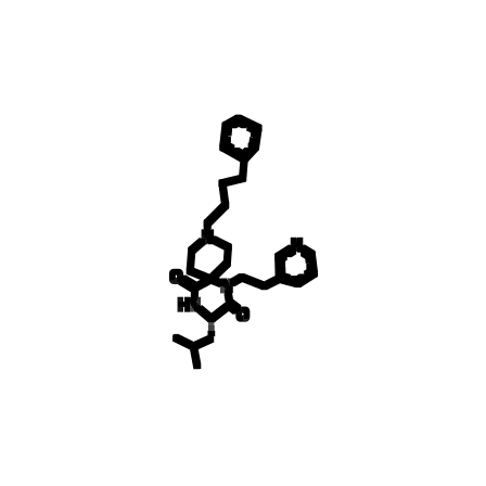 CC(C)C[C@@H]1NC(=O)C2(CCN(CCCCc3ccccc3)CC2)N(CCc2cccnc2)C1=O